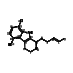 C/C=C/CC[C]1OCCc2c1[nH]c1c(Cl)ccc(Cl)c21